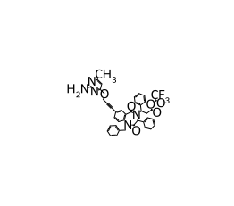 Cc1cc(OCC#Cc2ccc3c(c2)C(=O)N(C(CC(=O)OC(=O)C(F)(F)F)c2ccccc2)C(c2ccccc2)C(=O)N3Cc2ccccc2)nc(N)n1